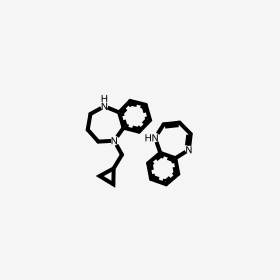 C1=CNc2ccccc2N=C1.c1ccc2c(c1)NCCCN2CC1CC1